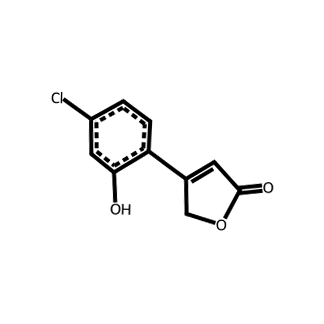 O=C1C=C(c2ccc(Cl)cc2O)CO1